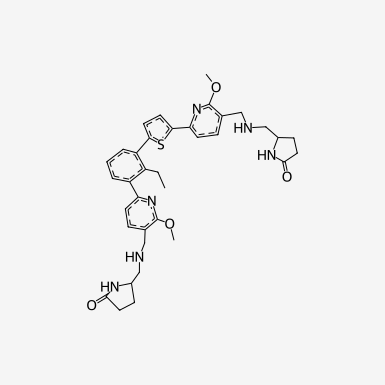 CCc1c(-c2ccc(CNCC3CCC(=O)N3)c(OC)n2)cccc1-c1ccc(-c2ccc(CNCC3CCC(=O)N3)c(OC)n2)s1